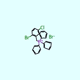 Clc1ccc(Br)c(C[P+](c2ccccc2)(c2ccccc2)c2ccccc2)c1.[Br-]